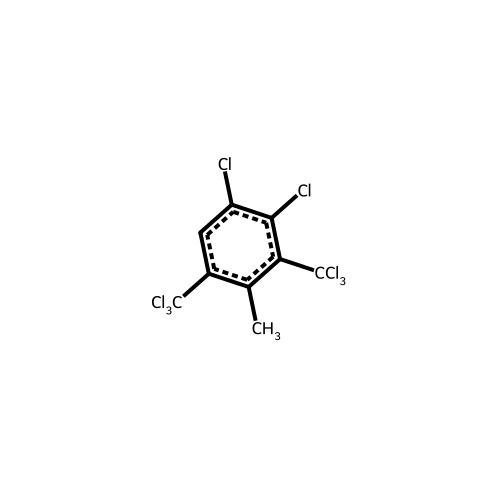 Cc1c(C(Cl)(Cl)Cl)cc(Cl)c(Cl)c1C(Cl)(Cl)Cl